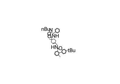 CCCCN(C)C(=O)[C@@H](NC(=O)C1(C)CC=C(CNC(=O)c2cccc(C)c2-c2ccc(C(C)(C)C)cc2)CC1)c1ccccc1